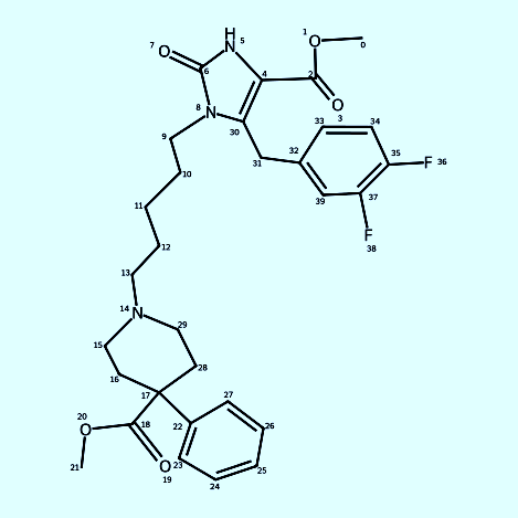 COC(=O)c1[nH]c(=O)n(CCCCCN2CCC(C(=O)OC)(c3ccccc3)CC2)c1Cc1ccc(F)c(F)c1